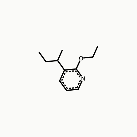 CCOc1ncccc1C(C)CC